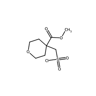 COC(=O)C1(CS(=O)(=O)Cl)CCOCC1